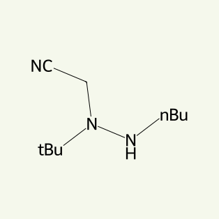 CCCCNN(CC#N)C(C)(C)C